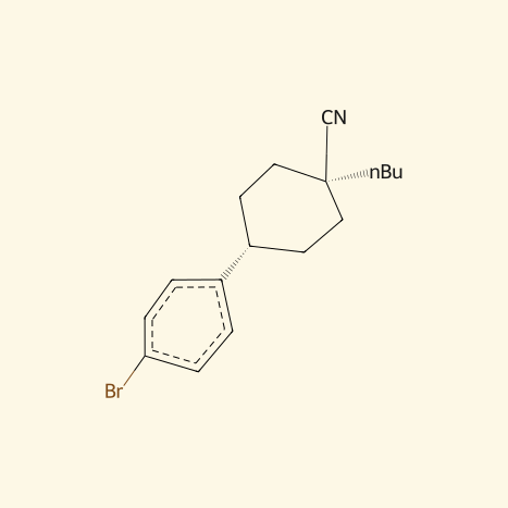 CCCC[C@]1(C#N)CC[C@H](c2ccc(Br)cc2)CC1